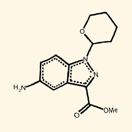 COC(=O)c1nn(C2CCCCO2)c2ccc(N)cc12